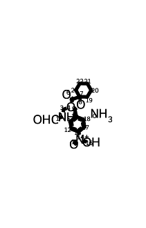 N.O=CNCOC(=O)C1(OCc2ccc([N+](=O)O)cc2)CCCCC1